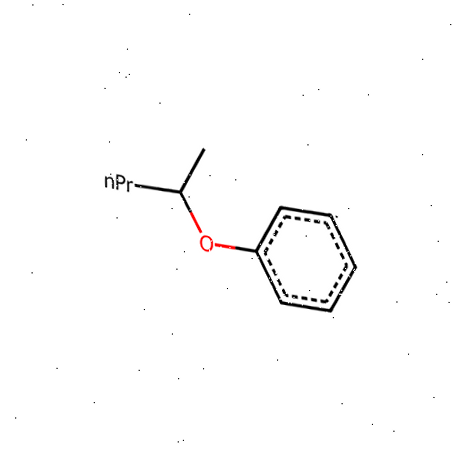 CCCC(C)Oc1c[c]ccc1